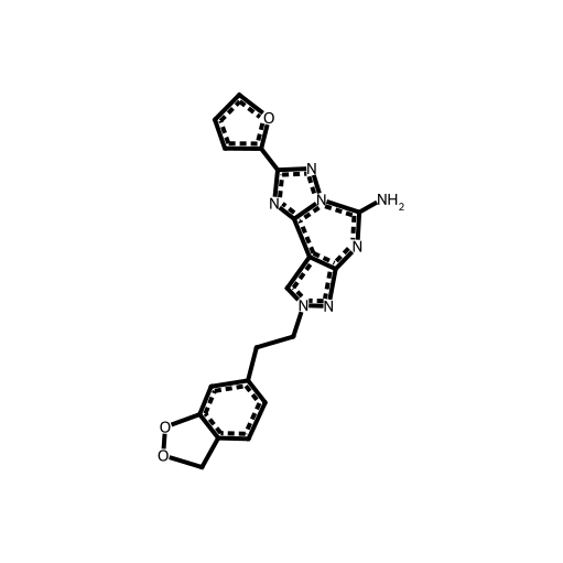 Nc1nc2nn(CCc3ccc4c(c3)OOC4)cc2c2nc(-c3ccco3)nn12